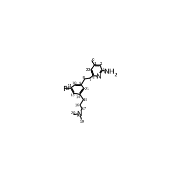 Cc1cc(N)nc(CCc2cc(F)cc(CCCN(C)C)c2)c1